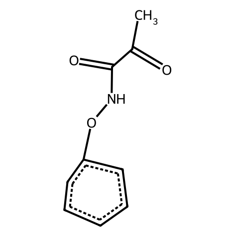 CC(=O)C(=O)NOc1ccccc1